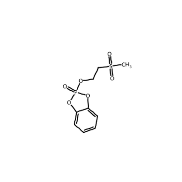 CS(=O)(=O)CCOP1(=O)Oc2ccccc2O1